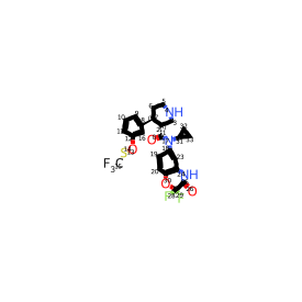 O=C([C@H]1CNCC[C@@H]1c1cccc(OSC(F)(F)F)c1)N(c1ccc2c(c1)NC(=O)C(F)(F)O2)C1CC1